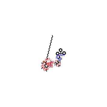 CCCCCCCCCCCCCCCCCC(=O)OC[C@H](F)[C@H]1O[C@@H](OP(=O)(O)OP(O)(=S)OC[C@H]2O[C@@H](n3cnc4c(NC(c5ccccc5)(c5ccccc5)c5ccccc5)ncnc43)[C@@H]3OC(C)(C)O[C@@H]32)[C@@H](OC(C)=O)[C@@H](OC(C)=O)[C@@H]1OC(C)=O